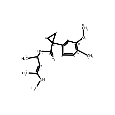 CN/C(C)=C/C(C)NC(=O)C1(c2ccc(C)c(OC)c2)CC1